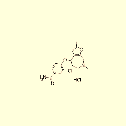 Cc1cc2c(o1)CN(C)CCC2Oc1ccc(C(N)=O)cc1Cl.Cl